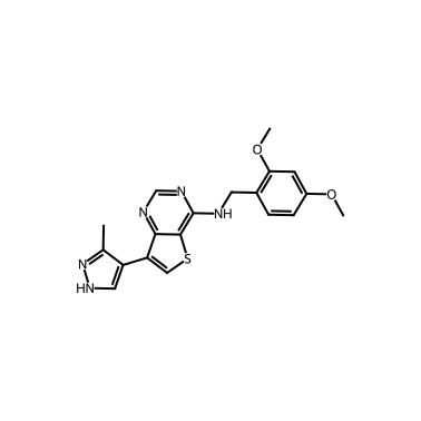 COc1ccc(CNc2ncnc3c(-c4c[nH]nc4C)csc23)c(OC)c1